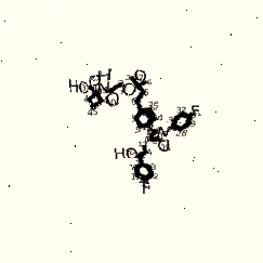 O=C(COC1(CCc2ccc([C@@H]3[C@@H](CC[C@H](O)c4ccc(F)cc4)C(=O)N3c3ccc(F)cc3)cc2)COC1)NC1(C(=O)O)CCC1